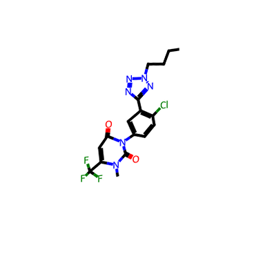 CCCCn1nnc(-c2cc(-n3c(=O)cc(C(F)(F)F)n(C)c3=O)ccc2Cl)n1